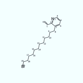 C=Cc1ncccc1CCCCCCCCCCCCBr